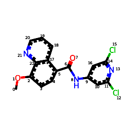 COc1ccc(C(=O)Nc2cc(Cl)nc(Cl)c2)c2cccnc12